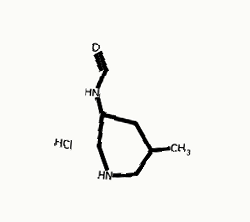 CC1CNCC(NC=O)C1.Cl